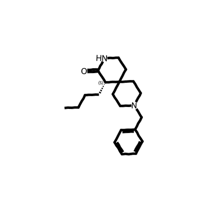 CCCC[C@@H]1C(=O)NCCC12CCN(Cc1ccccc1)CC2